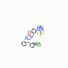 COc1ccc(-n2nnnc2C(F)(F)F)cc1CN1CCN(C)[C@@H](C(c2ccccc2)c2ccccc2)C1.Cl.Cl